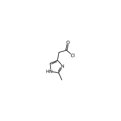 Cc1nc(CC(=O)Cl)c[nH]1